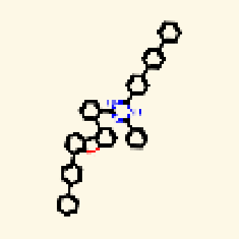 c1ccc(-c2ccc(-c3ccc(C4NC(c5ccccc5-c5cccc6oc7c(-c8ccc(-c9ccccc9)cc8)cccc7c56)=NC(c5ccccc5)N4)cc3)cc2)cc1